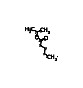 [CH2]CCCC(=O)OC(C)C